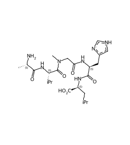 CC(C)C[C@H](NC(=O)[C@H](Cc1c[nH]cn1)NC(=O)CN(C)C(=O)[C@@H](NC(=O)[C@H](C)N)C(C)C)C(=O)O